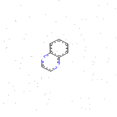 [Li].c1ccc2nccnc2c1